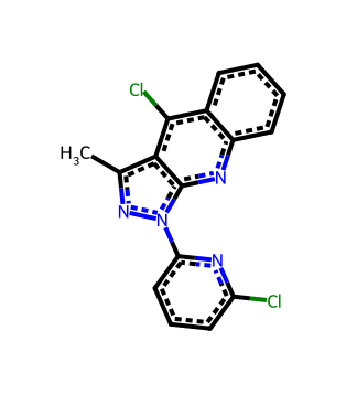 Cc1nn(-c2cccc(Cl)n2)c2nc3ccccc3c(Cl)c12